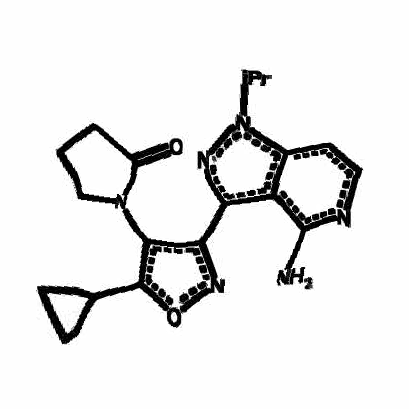 CC(C)n1nc(-c2noc(C3CC3)c2N2CCCC2=O)c2c(N)nccc21